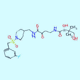 CC(C)(CO)[C@@H](O)C(=O)NCCC(=O)C(=O)NCC1CCN(S(=O)(=O)Cc2cccc(F)c2)CC1